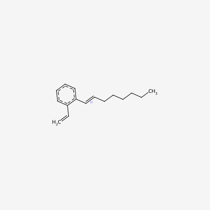 C=Cc1ccccc1/C=C/CCCCCC